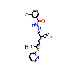 CC(/C=N/NC(=O)c1cccc(Cl)c1)=C\C=C(/C)Sc1ccccn1